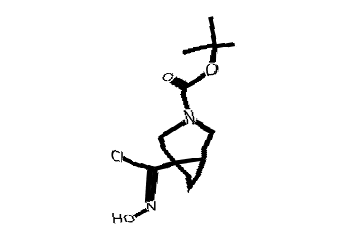 CC(C)(C)OC(=O)N1CC2CC2(/C(Cl)=N/O)C1